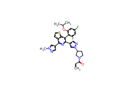 C=CC(=O)N1CCC(n2cc(-c3nc(-c4cnn(C)c4)c4ccsc4c3-c3c(F)cc(F)cc3OC(C)C)cn2)C1